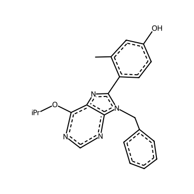 Cc1cc(O)ccc1-c1nc2c(OC(C)C)ncnc2n1Cc1ccccc1